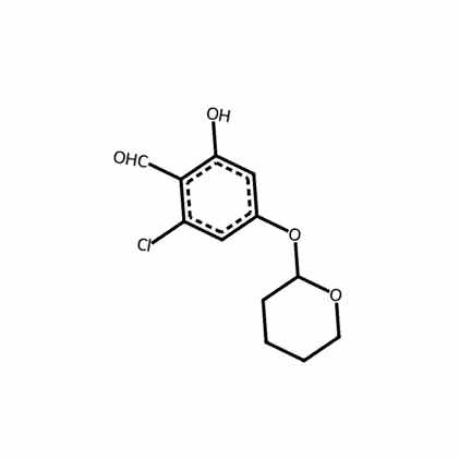 O=Cc1c(O)cc(OC2CCCCO2)cc1Cl